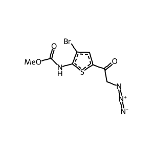 COC(=O)Nc1sc(C(=O)CN=[N+]=[N-])cc1Br